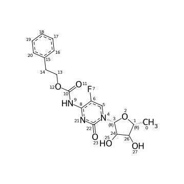 C[C@H]1O[C@@H](n2cc(F)c(NC(=O)OCCc3ccccc3)nc2=O)C(O)C1O